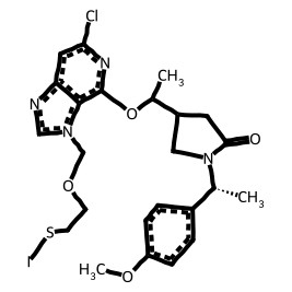 COc1ccc([C@@H](C)N2CC(C(C)Oc3nc(Cl)cc4ncn(COCCSI)c34)CC2=O)cc1